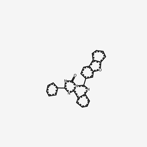 O=c1nc(-c2ccccc2)nc2c3ccccc3nc(-c3ccc4c(c3)oc3ccccc34)n12